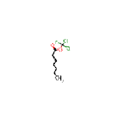 CCCCCCC(=O)OC(Cl)(Cl)Cl